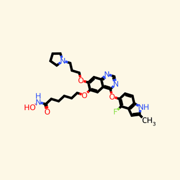 Cc1cc2c(F)c(Oc3ncnc4cc(OCCCN5CCCC5)c(OCCCCCC(=O)NO)cc34)ccc2[nH]1